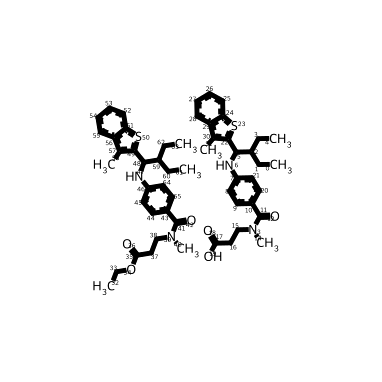 CCC(CC)C(Nc1ccc(C(=O)N(C)CCC(=O)O)cc1)c1sc2ccccc2c1C.CCOC(=O)CCN(C)C(=O)c1ccc(NC(c2sc3ccccc3c2C)C(CC)CC)cc1